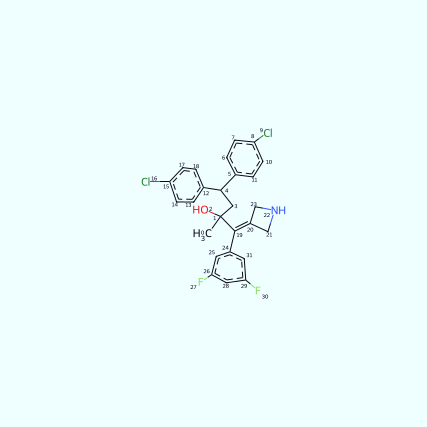 CC(O)(CC(c1ccc(Cl)cc1)c1ccc(Cl)cc1)C(=C1CNC1)c1cc(F)cc(F)c1